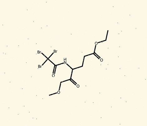 CCOC(=O)CCC(NC(=O)C(Br)(Br)Br)C(=O)COC